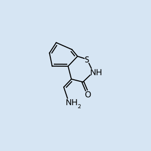 NC=C1C(=O)NSc2ccccc21